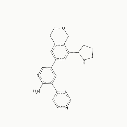 Nc1ncc(-c2cc3c(c(C4CCCN4)c2)COCC3)cc1-c1ccncn1